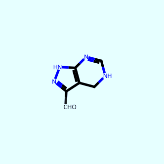 O=Cc1n[nH]c2c1CNC=N2